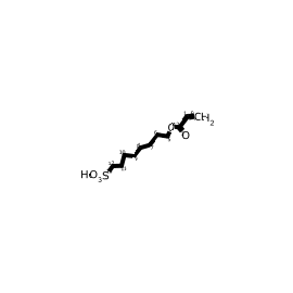 C=CC(=O)OCCCCCCCCS(=O)(=O)O